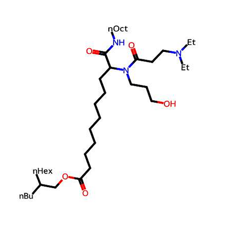 CCCCCCCCNC(=O)C(CCCCCCCCC(=O)OCC(CCCC)CCCCCC)N(CCCO)C(=O)CCN(CC)CC